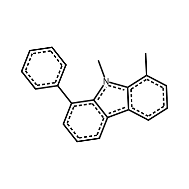 Cc1cccc2c3cccc(-c4ccccc4)c3n(C)c12